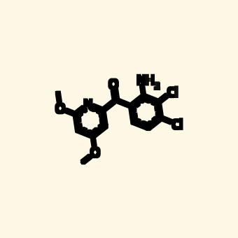 COc1cc(OC)nc(C(=O)c2ccc(Cl)c(Cl)c2N)c1